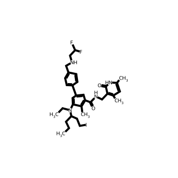 CCCC(CCI)N(CC)c1cc(-c2ccc(CNCC(F)F)cc2)cc(C(=O)NCc2c(C)cc(C)[nH]c2=O)c1C